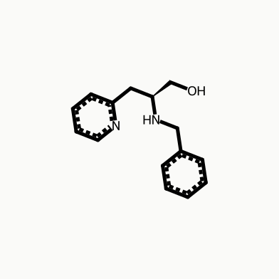 OC[C@H](Cc1ccccn1)NCc1ccccc1